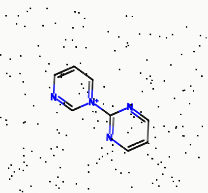 c1cnc(-[n+]2cccnc2)nc1